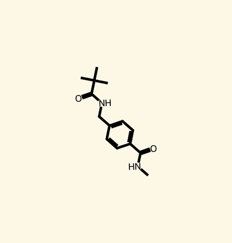 CNC(=O)c1ccc(CNC(=O)C(C)(C)C)cc1